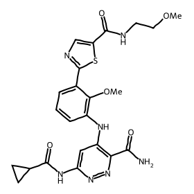 COCCNC(=O)c1cnc(-c2cccc(Nc3cc(NC(=O)C4CC4)nnc3C(N)=O)c2OC)s1